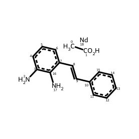 CC(=O)O.Nc1cccc(C=Cc2ccccc2)c1N.[Nd]